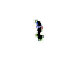 O=C(NCc1ccc(Cl)nc1)c1ccc(/C=C/C(c2cc(Cl)c(F)c(Cl)c2)C(F)(F)F)cc1F